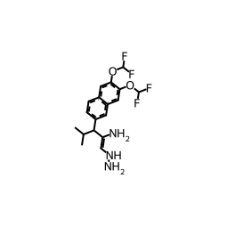 CC(C)C(/C(N)=C/NN)c1ccc2cc(OC(F)F)c(OC(F)F)cc2c1